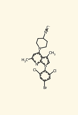 [C-]#[N+]C1CCN(c2cc(C)nc3c2c(C)cn3-c2c(Cl)cc(Br)cc2Cl)CC1